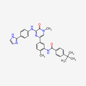 Cc1ccc(-c2cn(C)c(=O)c(Nc3ccc(-c4ncc[nH]4)cc3)n2)cc1NC(=O)c1ccc(C(C)(C)C)cc1